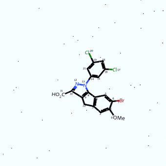 COc1cc2c(cc1Br)-c1c(c(C(=O)O)nn1-c1cc(Cl)cc(Cl)c1)C2